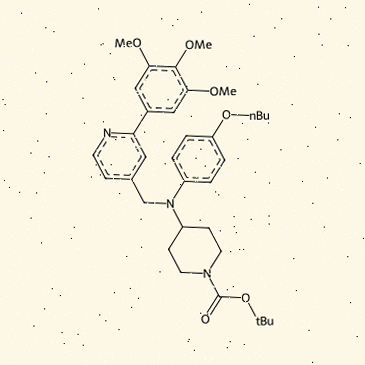 CCCCOc1ccc(N(Cc2ccnc(-c3cc(OC)c(OC)c(OC)c3)c2)C2CCN(C(=O)OC(C)(C)C)CC2)cc1